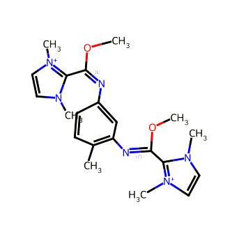 CO/C(=N\c1cc(/N=C(/OC)c2n(C)cc[n+]2C)ccc1C)c1n(C)cc[n+]1C